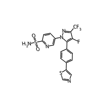 NS(=O)(=O)c1ccc(-n2nc(C(F)(F)F)c(F)c2-c2ccc(-c3cncs3)cc2)cn1